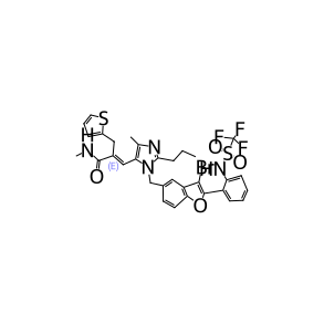 CCCc1nc(C)c(/C=C(\Cc2cccs2)C(=O)NC)n1Cc1ccc2oc(-c3ccccc3NS(=O)(=O)C(F)(F)F)c(Br)c2c1